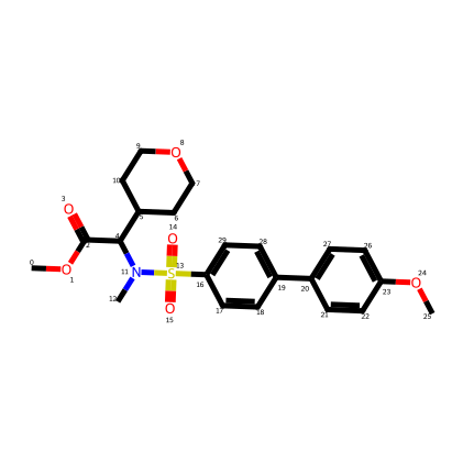 COC(=O)C(C1CCOCC1)N(C)S(=O)(=O)c1ccc(-c2ccc(OC)cc2)cc1